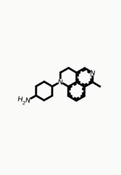 Cc1ncc2c3c(cccc13)N(C1CCC(N)CC1)CC2